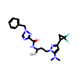 CN(C)c1cc(C2CC2(F)F)nn1CCC(C=O)NC(=O)c1ncn(Cc2ccccc2)n1